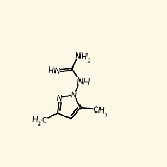 Cc1cc(C)n(NC(=N)N)n1